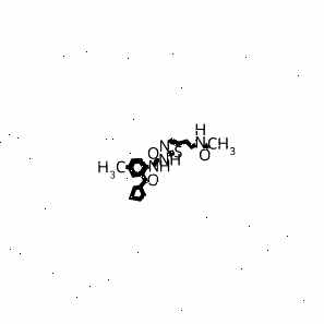 CC(=O)NCCc1cnc(NC(=O)Nc2ccc(C)cc2C(=O)C2CCCC2)s1